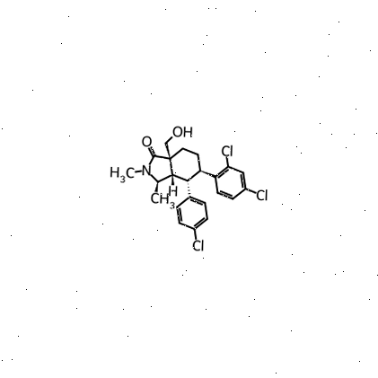 C[C@@H]1[C@H]2[C@@H](c3ccc(Cl)cc3)[C@H](c3ccc(Cl)cc3Cl)CC[C@@]2(CO)C(=O)N1C